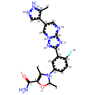 CC1=C(C(N)=O)OC(C)N1c1ccc(F)c(-c2nc3ncc(-c4cn[nH]c4C)cn3n2)c1